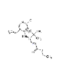 C=Cc1cnc(Cl)nc1N[C@H](/C=C/C(=O)OCC)C(C)(C)C